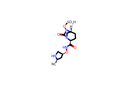 N#C[C@@H]1C[C@H](ONC(=O)[C@@H]2CC[C@@H]3CN2C(=O)N3OS(=O)(=O)O)CN1